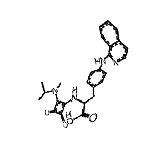 CC(C)N(C)c1c(NC(Cc2ccc(Nc3nccc4ccccc34)cc2)C(=O)O)c(=O)c1=O